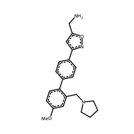 COc1ccc(-c2ccc(-c3cc(CN)on3)cc2)c(CN2CCCC2)c1